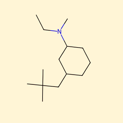 CCN(C)C1CCCC(CC(C)(C)C)C1